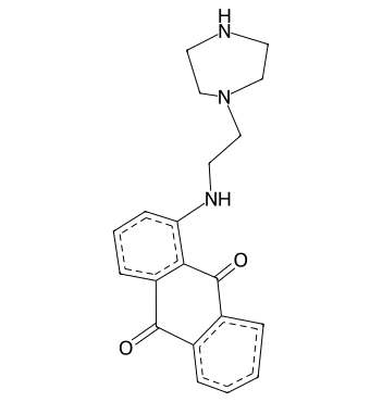 O=C1c2ccccc2C(=O)c2c(NCCN3CCNCC3)cccc21